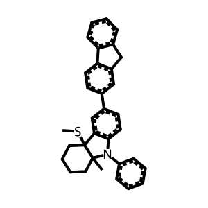 CSC12CCCCC1(C)N(c1ccccc1)c1ccc(-c3ccc4c(c3)Cc3ccccc3-4)cc12